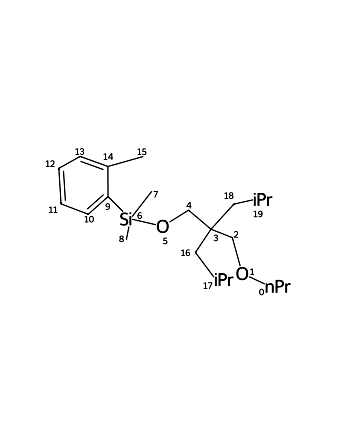 CCCOCC(CO[Si](C)(C)c1ccccc1C)(CC(C)C)CC(C)C